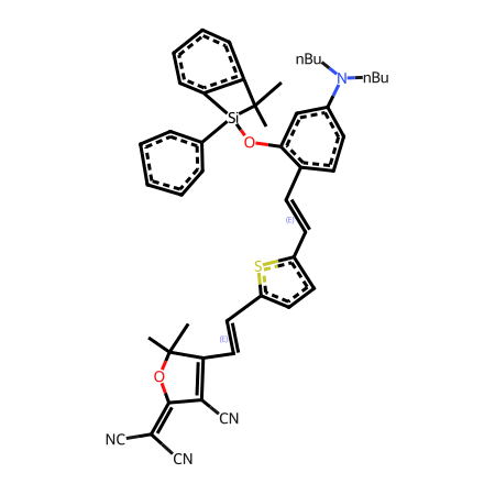 CCCCN(CCCC)c1ccc(/C=C/c2ccc(/C=C/C3=C(C#N)C(=C(C#N)C#N)OC3(C)C)s2)c(O[Si]2(c3ccccc3)c3ccccc3C2(C)C)c1